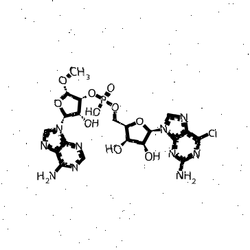 CO[C@H]1O[C@@H](n2cnc3c(N)ncnc32)[C@@H](O)[C@H]1OP(=O)(O)OC[C@H]1O[C@@H](n2cnc3c(Cl)nc(N)nc32)[C@@H](O)[C@H]1O